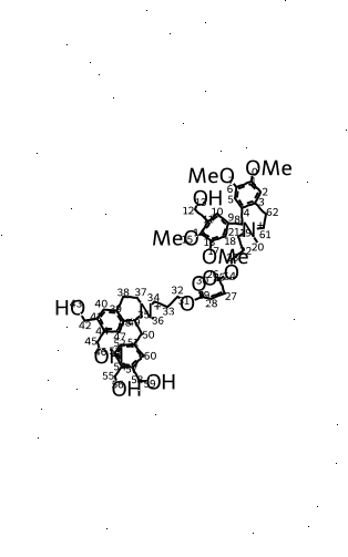 COc1cc2c(cc1OC)C(c1cc(CO)c(OC)c(OC)c1)[N+](C)(CCCOC(=O)/C=C\C(=O)OCCC[N+]1(C)CCc3cc(CO)c(CO)cc3C1Cc1ccc(CO)c(CO)c1)CC2